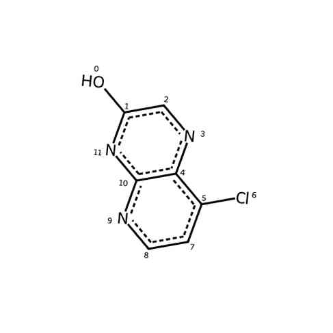 Oc1cnc2c(Cl)ccnc2n1